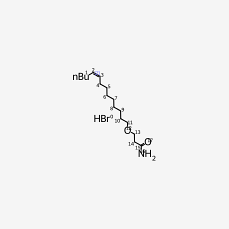 Br.CCCC/C=C\CCCCCCCCOCCC(N)=O